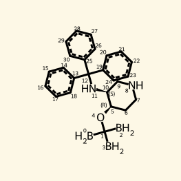 BC(B)(B)O[C@@H]1CCNC[C@@H]1NC(c1ccccc1)(c1ccccc1)c1ccccc1